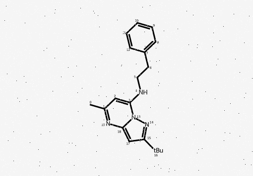 Cc1cc(NCCc2ccccc2)n2nc(C(C)(C)C)cc2n1